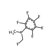 CP(CF)c1c(F)c(F)c(F)c(F)c1F